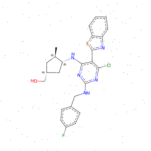 C[C@@H]1C[C@@H](CO)C[C@H]1Nc1nc(NCc2ccc(F)cc2)nc(Cl)c1-c1nc2ccccc2s1